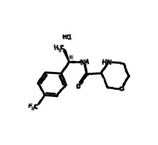 C[C@@H](NC(=O)C1COCCN1)c1ccc(C(F)(F)F)cc1.Cl